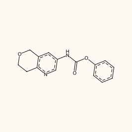 O=C(Nc1cnc2c(c1)COCC2)Oc1ccccc1